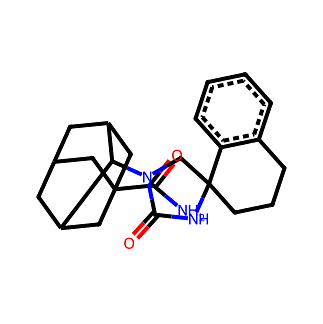 NC(=O)C12CC3CC(C1)C(N1CC4(CCCc5ccccc54)NC1=O)C(C3)C2